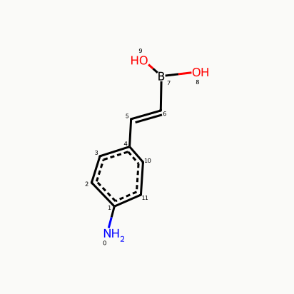 Nc1ccc(C=CB(O)O)cc1